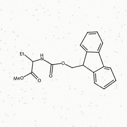 CCC(NC(=O)OCC1c2ccccc2-c2ccccc21)C(=O)OC